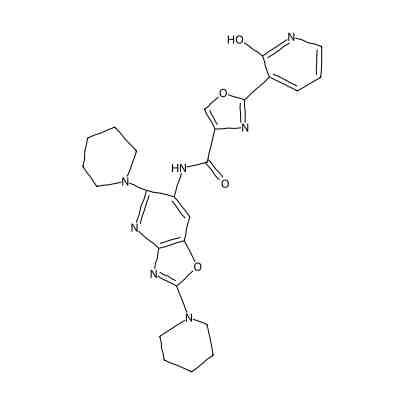 O=C(Nc1cc2oc(N3CCCCC3)nc2nc1N1CCCCC1)c1coc(-c2cccnc2O)n1